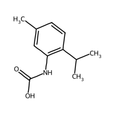 Cc1ccc(C(C)C)c(NC(=O)O)c1